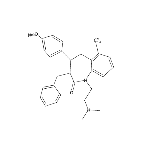 COc1ccc(C2Cc3c(cccc3C(F)(F)F)N(CCN(C)C)C(=O)C2Cc2ccccc2)cc1